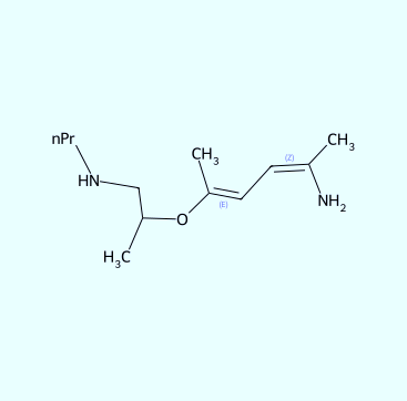 CCCNCC(C)O/C(C)=C/C=C(/C)N